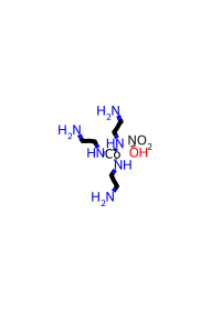 NCC[NH][Co]([NH]CCN)[NH]CCN.O=[N+]([O-])O